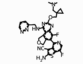 CN(C)CC1(COc2nc(NCc3cccnn3)c3c4c(c(-c5ncc(F)c6sc(N)c(C#N)c56)c(F)c3n2)COC4)CC1